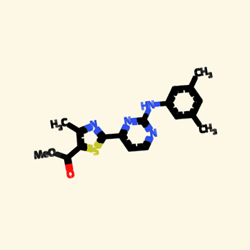 COC(=O)c1sc(-c2ccnc(Nc3cc(C)cc(C)c3)n2)nc1C